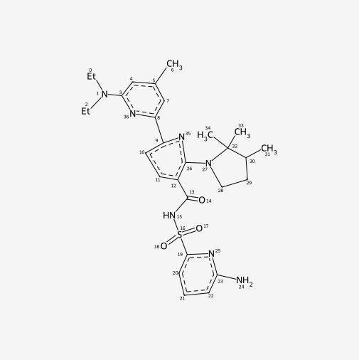 CCN(CC)c1cc(C)cc(-c2ccc(C(=O)NS(=O)(=O)c3cccc(N)n3)c(N3CCC(C)C3(C)C)n2)n1